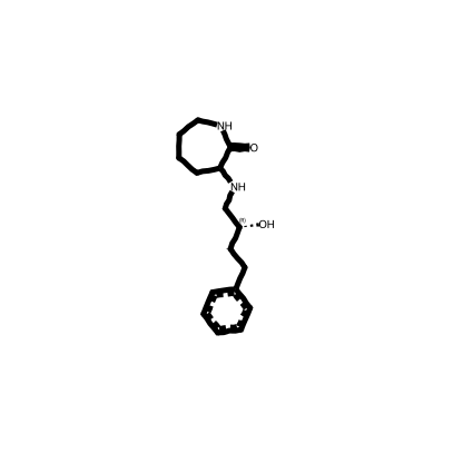 O=C1NCCCCC1NC[C@H](O)[CH]Cc1ccccc1